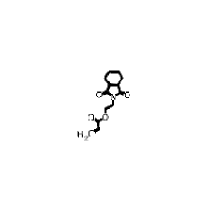 C=CC(=O)OCCN1C(=O)C2CC=CCC2C1=O